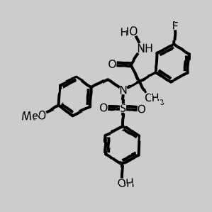 COc1ccc(CN(C(C)(C(=O)NO)c2cccc(F)c2)S(=O)(=O)c2ccc(O)cc2)cc1